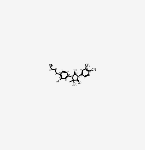 CCC1(C)C(=O)N(c2ccc(C#N)c(C(F)(F)F)c2)C(=S)N1c1ccc(CCCC#N)c(F)c1